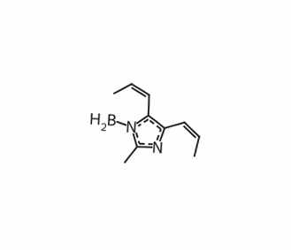 Bn1c(C)nc(/C=C\C)c1/C=C\C